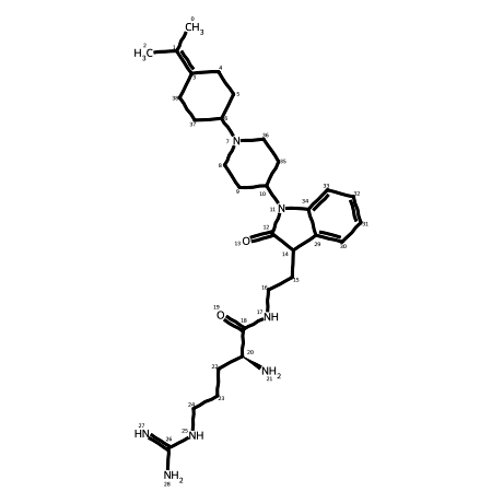 CC(C)=C1CCC(N2CCC(N3C(=O)C(CCNC(=O)[C@@H](N)CCCNC(=N)N)c4ccccc43)CC2)CC1